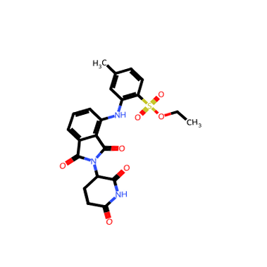 CCOS(=O)(=O)c1ccc(C)cc1Nc1cccc2c1C(=O)N(C1CCC(=O)NC1=O)C2=O